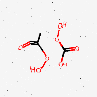 CC(=O)OO.O=C(O)OO